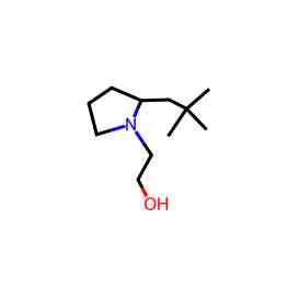 CC(C)(C)CC1CCCN1CCO